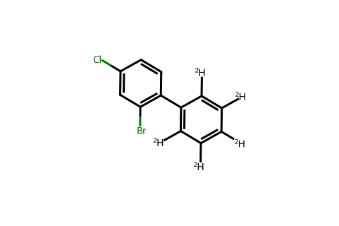 [2H]c1c([2H])c([2H])c(-c2ccc(Cl)cc2Br)c([2H])c1[2H]